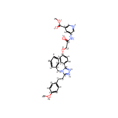 COC(=O)c1cncc(NC(=O)COc2ccc(-c3nnc(CCc4ccc(OC)cc4)n3Cc3ccccc3)cc2)c1